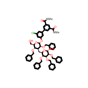 CNC(=O)c1cc(C(=O)NC)cc(-c2cc(Cl)cc(O[C@H]3O[C@H](CO)[C@@H](OCc4ccccc4)[C@H](C[C@H]4O[C@H](CO)[C@@H](OCc5ccccc5)[C@H](OCc5ccccc5)[C@@H]4OCc4ccccc4)[C@@H]3OCc3ccccc3)c2)c1